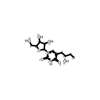 O=c1[nH]c(=O)n(C2OC(CO)C(O)C2O)cc1C[C@@H](O)CI